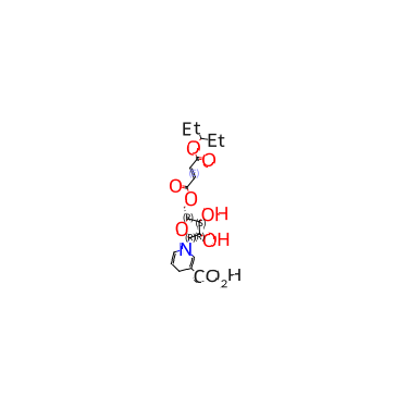 CCC(CC)OC(=O)/C=C/C(=O)OC[C@H]1O[C@@H](N2C=CCC(C(=O)O)=C2)[C@H](O)[C@@H]1O